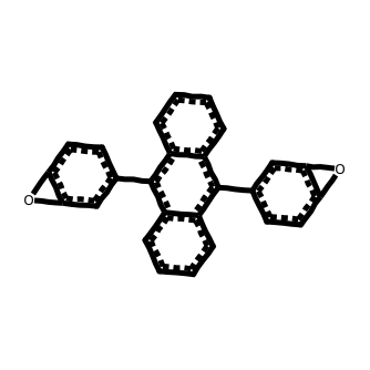 c1ccc2c(-c3ccc4c(c3)O4)c3ccccc3c(-c3ccc4c(c3)O4)c2c1